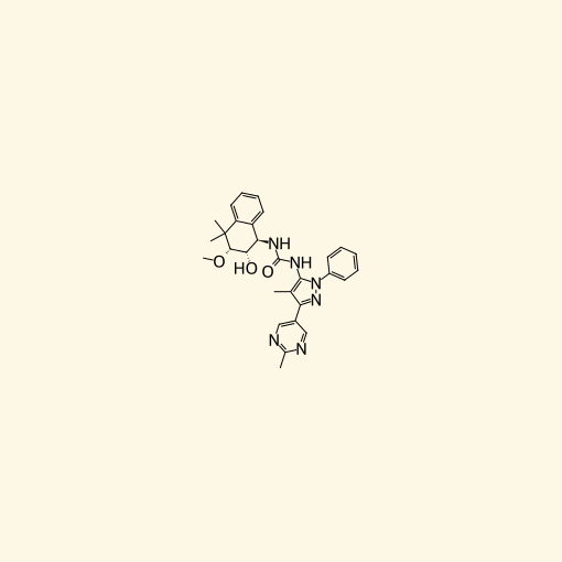 CO[C@H]1[C@@H](O)[C@H](NC(=O)Nc2c(C)c(-c3cnc(C)nc3)nn2-c2ccccc2)c2ccccc2C1(C)C